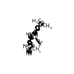 CC(Cn1cnnn1)Oc1cc(-c2cnc(Nc3cn(C4CCC(N5C[C@@H](C)O[C@@H](C)C5)CC4)nc3OCCOCC(F)F)nc2)ccc1C#N